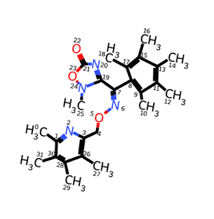 Cc1nc(CON=C(c2c(C)c(C)c(C)c(C)c2C)c2nc(=O)on2C)c(C)c(C)c1C